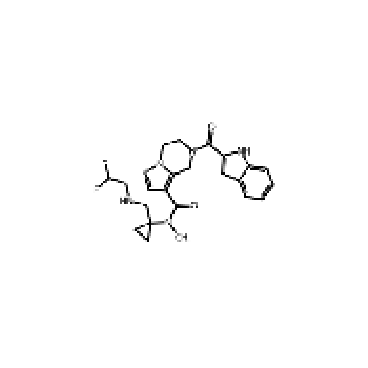 CN(C(=O)c1cnn2c1CN(C(=O)c1cc3ccccc3[nH]1)CC2)C1(CNCC(F)F)CC1